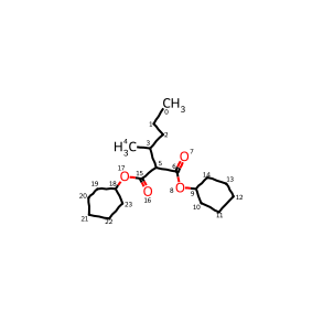 CCCC(C)C(C(=O)OC1CCCCC1)C(=O)OC1CCCCC1